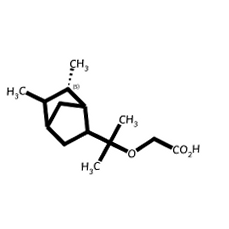 CC1C2CC(C(C(C)(C)OCC(=O)O)C2)[C@H]1C